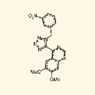 COc1cc2ncnc(-c3nnnn3Cc3cccc([N+](=O)[O-])c3)c2cc1OC